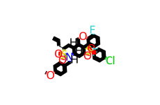 C=CC[C@@H]1C[C@@H]2[C@@H](CC[C@@]3(S(=O)(=O)c4ccc(Cl)cc4)c4c(F)ccc(F)c4OC[C@@H]23)N(Cc2ccc(OC)cc2)S1(=O)=O